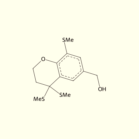 CSc1cc(CO)cc2c1OCCC2(SC)SC